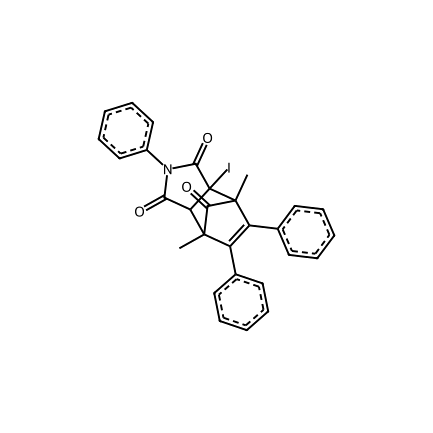 CC12C(=O)C(C)(C(c3ccccc3)=C1c1ccccc1)C1(I)C(=O)N(c3ccccc3)C(=O)C21